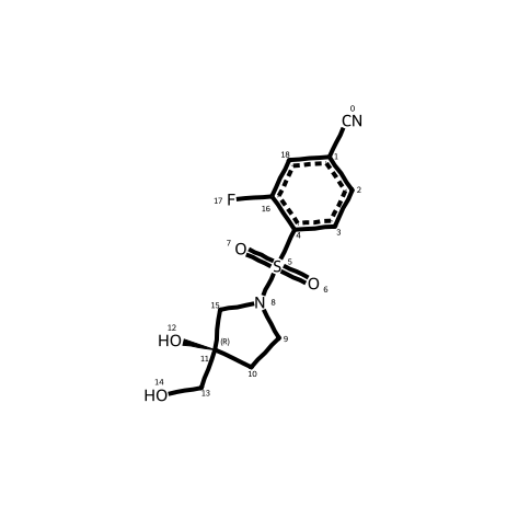 N#Cc1ccc(S(=O)(=O)N2CC[C@](O)(CO)C2)c(F)c1